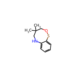 CC1(C)CNc2ccccc2SOC1